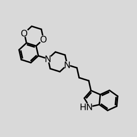 c1cc2c(c(N3CCN(CCCc4c[nH]c5ccccc45)CC3)c1)OCCO2